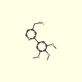 COc1cc(-c2cc(CN)ccn2)cc(OC)c1OC